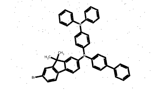 CC1(C)c2cc(Br)ccc2-c2ccc(N(c3ccc(-c4ccccc4)cc3)c3ccc(N(c4ccccc4)c4ccccc4)cc3)cc21